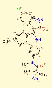 CN(C(=O)C(C)(C)N)c1ccc(N/C(=C2\C(=O)Nc3cc(Cl)ccc32)c2ccc([N+](=O)[O-])cc2)cc1